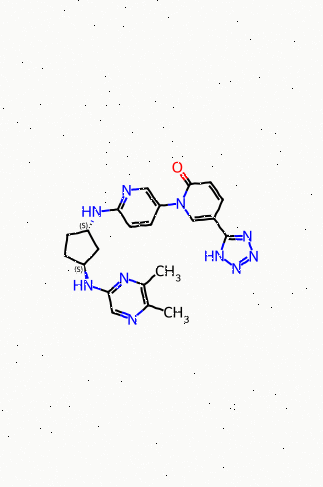 Cc1ncc(N[C@H]2CC[C@H](Nc3ccc(-n4cc(-c5nnn[nH]5)ccc4=O)cn3)C2)nc1C